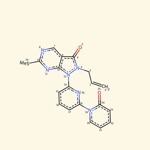 C=CCn1c(=O)c2cnc(SC)nc2n1-c1cccc(-n2ccccc2=O)n1